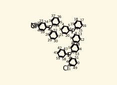 [Cl-].[Cl-].[Ni+2].c1ccc(P(c2ccccc2)c2ccccc2)cc1.c1ccc(P(c2ccccc2)c2ccccc2)cc1.c1ccc(P(c2ccccc2)c2ccccc2)cc1